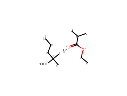 CCOC(=O)C(C)C.[Li+].[Li][CH2]CC(C)(C)C(=O)[O-]